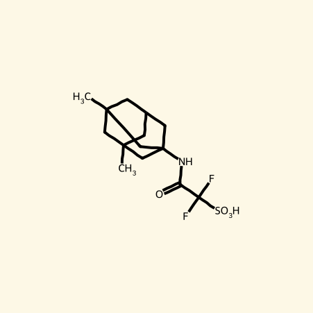 CC12CC3CC(C)(C1)CC(NC(=O)C(F)(F)S(=O)(=O)O)(C3)C2